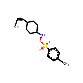 CCC/C=C\C1CCC(NOS(=O)(=O)c2ccc(C)cc2)CC1